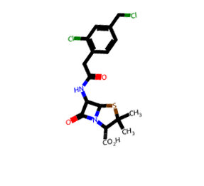 CC1(C)SC2C(NC(=O)Cc3ccc(CCl)cc3Cl)C(=O)N2C1C(=O)O